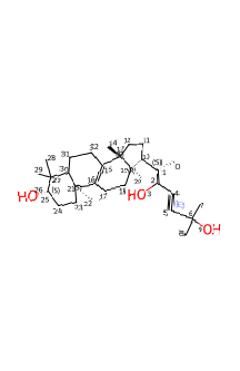 C[C@H](C(O)/C=C/C(C)(C)O)C1CC[C@@]2(C)C3=C(CC[C@]12C)[C@@]1(C)CC[C@H](O)C(C)(C)C1CC3